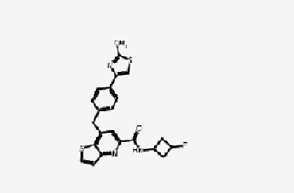 Cc1nc(-c2ccc(Cc3cc(C(=O)NC4CC(F)C4)nc4ccsc34)cc2)cs1